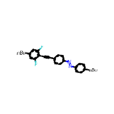 CCCCc1ccc(N=Nc2ccc(C#Cc3c(F)cc(CCCC)cc3F)cc2)cc1